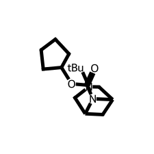 CC(C)(C)N1CC2CC(C1)N2C(=O)OC1CCCC1